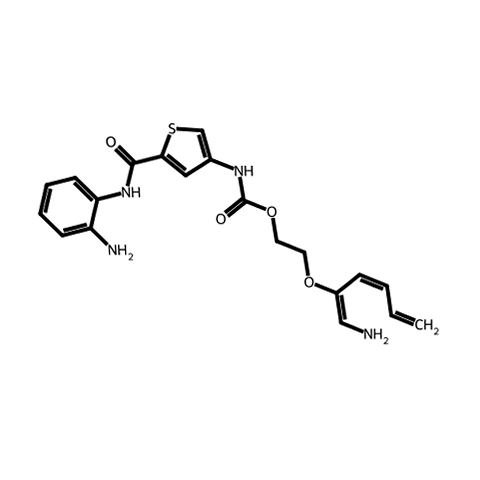 C=C/C=C\C(=C/N)OCCOC(=O)Nc1csc(C(=O)Nc2ccccc2N)c1